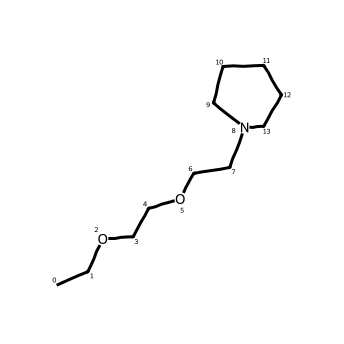 CCOCCOCCN1CCCCC1